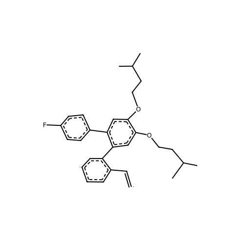 [CH]=Cc1cc[c]cc1-c1cc(OCCC(C)C)c(OCCC(C)C)cc1-c1ccc(F)cc1